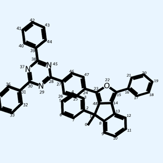 CC1(c2ccccc2)c2ccccc2-c2c(-c3ccccc3)oc(-c3ccc(-c4nc(-c5ccccc5)nc(-c5ccccc5)n4)cc3)c21